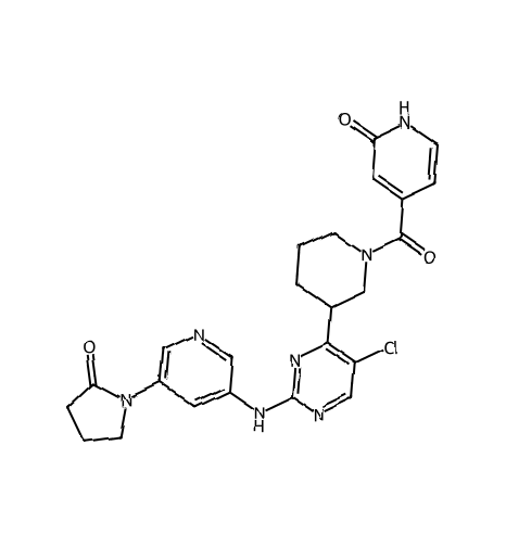 O=C(c1cc[nH]c(=O)c1)N1CCCC(c2nc(Nc3cncc(N4CCCC4=O)c3)ncc2Cl)C1